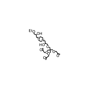 CCOCC(O)CN1CCN(CC(O)COCC(COCC2CO2)(COCC2CO2)COCC2CO2)CC1